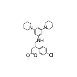 COC(=O)CC(CNc1cc(N2CCCCC2)cc(N2CCCCC2)c1)c1ccc(Cl)cc1